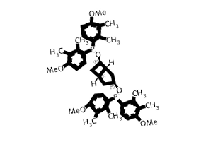 COc1ccc(P(O[C@H]2C[C@H]3C[C@@H](OP(c4ccc(OC)c(C)c4C)c4ccc(OC)c(C)c4C)[C@H]3C2)c2ccc(OC)c(C)c2C)c(C)c1C